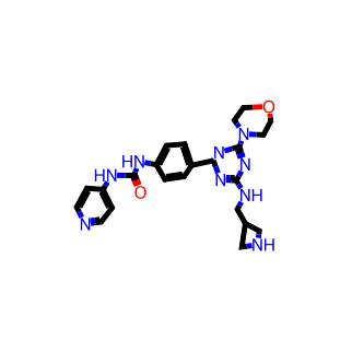 O=C(Nc1ccncc1)Nc1ccc(-c2nc(NCC3CNC3)nc(N3CCOCC3)n2)cc1